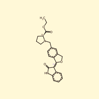 CCOC(=O)[C@@H]1CCCN1Cc1ccc2c(c1)CO/C2=C1/C(=O)Nc2ccccc21